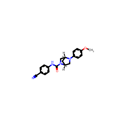 COc1ccc(N2C[C@H]3C[C@@H]2CN3C(=O)Nc2ccc(C#N)cc2)cc1